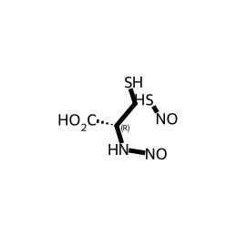 O=NN[C@@H](CS)C(=O)O.O=NS